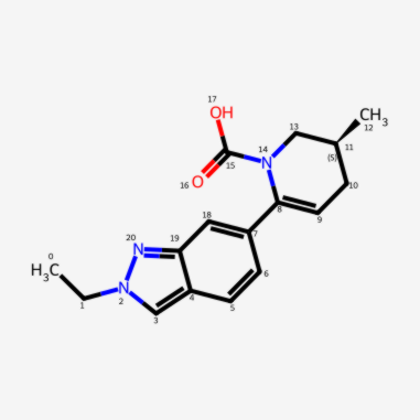 CCn1cc2ccc(C3=CC[C@H](C)CN3C(=O)O)cc2n1